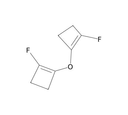 FC1=C(OC2=C(F)CC2)CC1